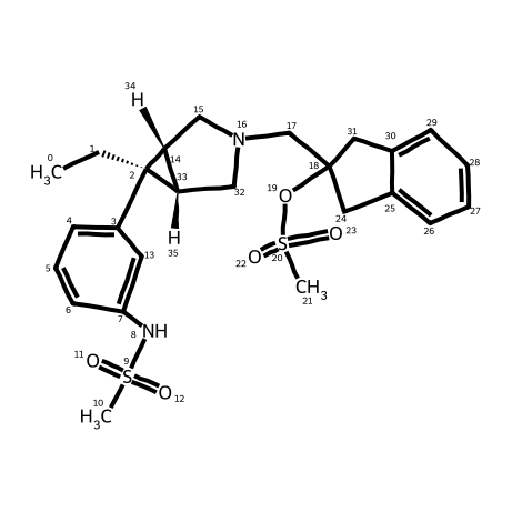 CC[C@]1(c2cccc(NS(C)(=O)=O)c2)[C@@H]2CN(CC3(OS(C)(=O)=O)Cc4ccccc4C3)C[C@@H]21